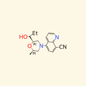 CCC(O)[C@H]1CN(c2ccc(C#N)c3ncccc23)C[C@@H](C)O1